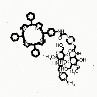 CO[C@@H]1C(CO)O[C@@H](O[C@@H]2C(CO)O[C@@H](C)C(NC(=O)CN3CCN(C)CC3)[C@H]2O)C(NC(=O)CN2CCN(CC(=O)Nc3ccc(-c4c5nc(c(-c6ccccc6)c6ccc([nH]6)c(-c6ccccc6)c6nc(c(-c7ccccc7)c7ccc4[nH]7)CC6)C=C5)cc3)CC2)[C@H]1O